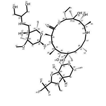 CC[C@H]1OC(=O)[C@H](C)[C@@H](O[C@H]2C[C@@](C)(OC)[C@](O)(CNC(CO)CO)[C@H](C)O2)[C@H](C)[C@@H](O[C@@H]2O[C@H](C)C[C@H]3[C@H]2OC(C(F)(F)F)N3C)[C@](C)(O)C[C@@H](C)CN[C@H](C)[C@@H](O)[C@]1(C)O